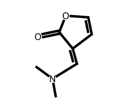 CN(C)C=C1C=COC1=O